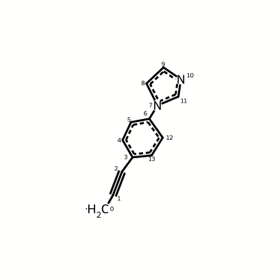 [CH2]C#Cc1ccc(-n2ccnc2)cc1